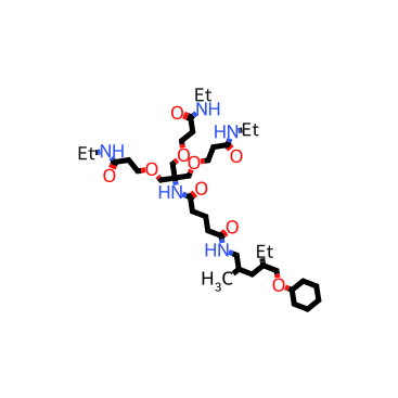 CCNC(=O)CCOCC(COCCC(=O)NCC)(COCCC(=O)NCC)NC(=O)CCCC(=O)NCC(C)CC(CC)COC1CCCCC1